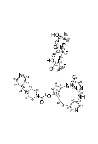 O=C(COc1ccc2cc1CCc1cncc(c1)Nc1ncc(Cl)c(n1)N2)N1CCN(Cc2ccncc2)CC1.O=C(O)C(F)(F)F.O=C(O)C(F)(F)F.O=C(O)C(F)(F)F